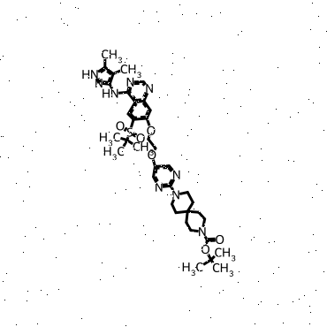 Cc1[nH]nc(Nc2ncnc3cc(OCCOc4cnc(N5CCC6(CCN(C(=O)OC(C)(C)C)CC6)CC5)nc4)c(S(=O)(=O)C(C)(C)C)cc23)c1C